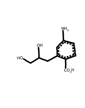 Nc1ccc(C(=O)O)c(CC(O)CO)c1